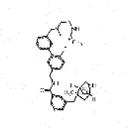 C[C@H]1CN(Cc2cccc(-c3cc(CNC(=O)c4cccc(C[N+]5(C)C[C@@H]6C[C@H]5CN6)c4)ccc3F)c2)CCN1